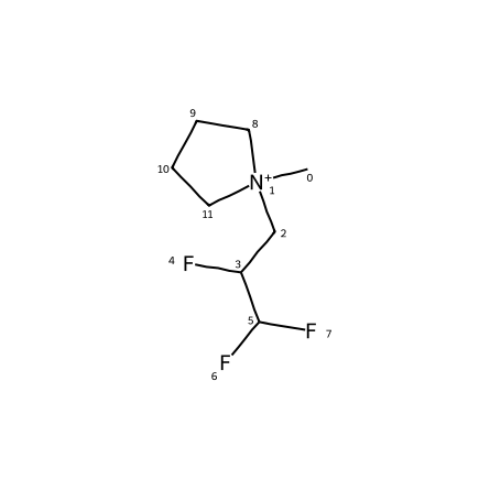 C[N+]1(CC(F)C(F)F)CCCC1